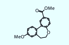 COC(=O)c1ccc2c(c1)-c1ccc(OC)cc1CCO2